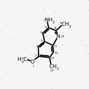 COc1cc2cc(N)c(C)nc2cc1C